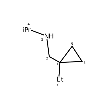 CCC1(CNC(C)C)CC1